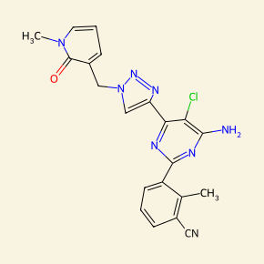 Cc1c(C#N)cccc1-c1nc(N)c(Cl)c(-c2cn(Cc3cccn(C)c3=O)nn2)n1